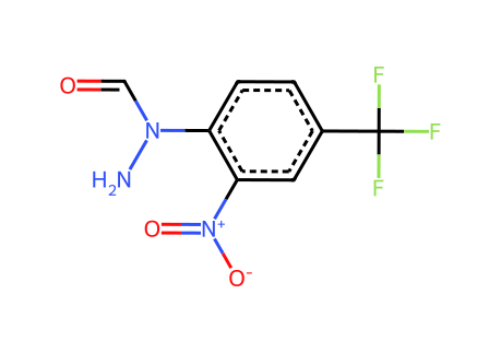 NN(C=O)c1ccc(C(F)(F)F)cc1[N+](=O)[O-]